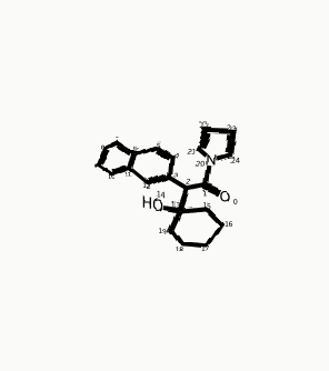 O=C(C(c1ccc2ccccc2c1)C1(O)CCCCC1)n1cccc1